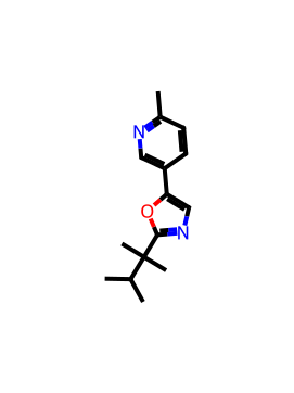 Cc1ccc(-c2cnc(C(C)(C)C(C)C)o2)cn1